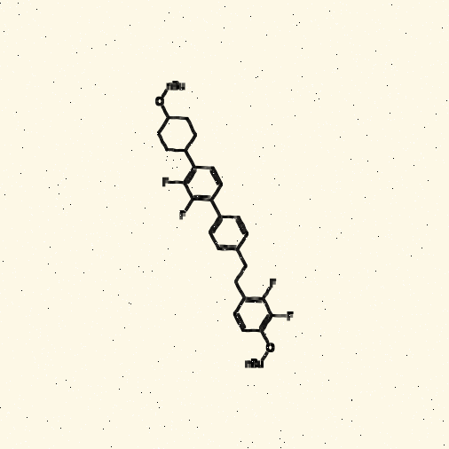 CCCCOc1ccc(CCc2ccc(-c3ccc(C4CCC(OCCCC)CC4)c(F)c3F)cc2)c(F)c1F